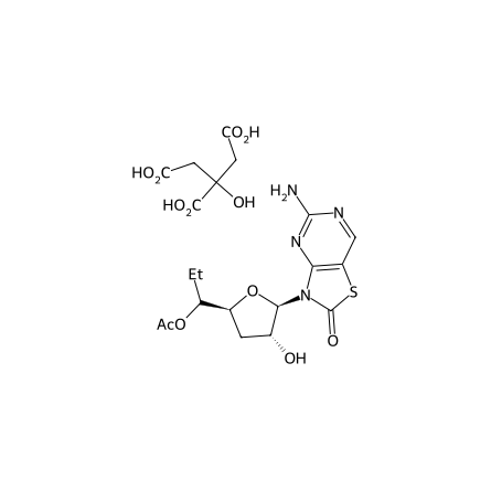 CCC(OC(C)=O)[C@@H]1C[C@@H](O)[C@H](n2c(=O)sc3cnc(N)nc32)O1.O=C(O)CC(O)(CC(=O)O)C(=O)O